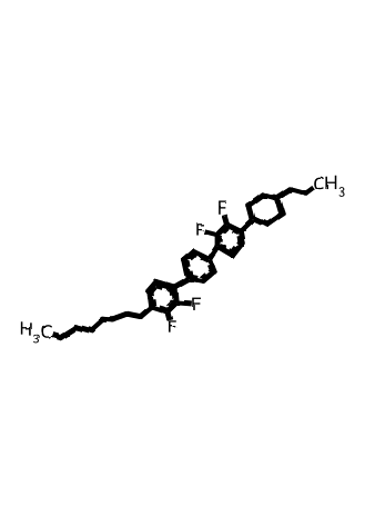 CCCCCCCCc1ccc(-c2ccc(-c3ccc(C4CCC(CCC)CC4)c(F)c3F)cc2)c(F)c1F